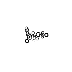 CC(CC(=O)N1CCOCC1)(C(=O)NC1CCCN(S(=O)(=O)c2ccccc2)CC1=O)S(=O)(=O)Cc1ccccc1